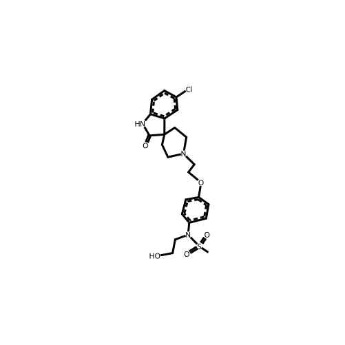 CS(=O)(=O)N(CCO)c1ccc(OCCN2CCC3(CC2)C(=O)Nc2ccc(Cl)cc23)cc1